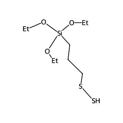 CCO[Si](CCCSS)(OCC)OCC